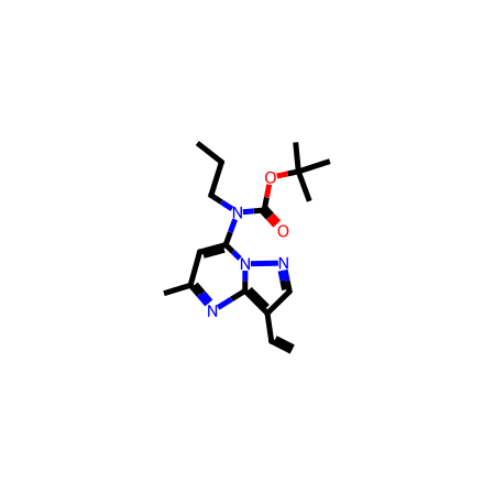 C=Cc1cnn2c(N(CCC)C(=O)OC(C)(C)C)cc(C)nc12